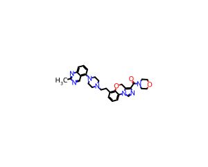 Cc1ncc2c(N3CCN(CCc4cccc5c4OCc4c(C(=O)N6CCOCC6)ncn4-5)CC3)cccc2n1